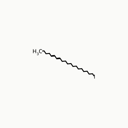 CCCCC=CC=CCCCCCCCCCCCCI